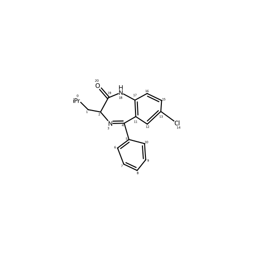 CC(C)CC1N=C(c2ccccc2)c2cc(Cl)ccc2NC1=O